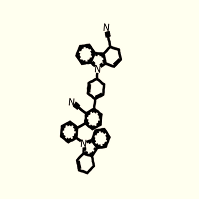 N#Cc1c(C2=CCC(n3c4c(c5ccccc53)C(C#N)CC=C4)C=C2)cccc1-c1ccccc1-n1c2c(c3ccccc31)CCC=C2